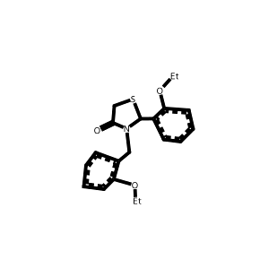 CCOc1ccccc1CN1C(=O)CSC1c1ccccc1OCC